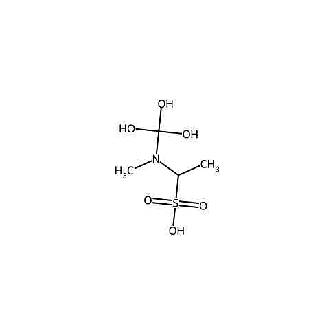 CC(N(C)C(O)(O)O)S(=O)(=O)O